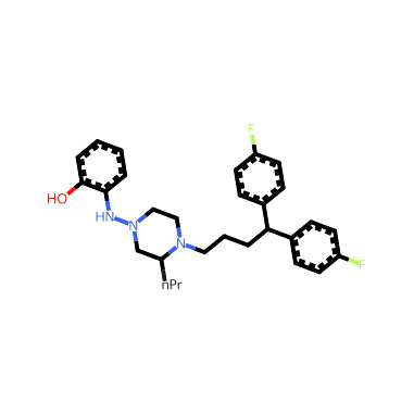 CCCC1CN(Nc2ccccc2O)CCN1CCCC(c1ccc(F)cc1)c1ccc(F)cc1